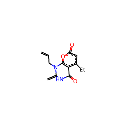 C=CCN1C(=C)NC(=O)c2c(CC)cc(=O)oc21